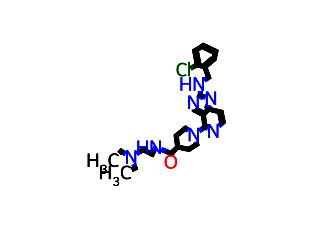 CCN(CC)CCNC(=O)C1CCN(c2nccc3nc(NCc4ccccc4Cl)ncc23)CC1